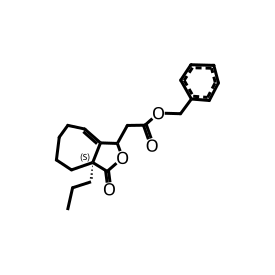 CCC[C@]12CCCCC=C1C(CC(=O)OCc1ccccc1)OC2=O